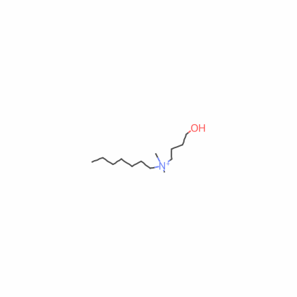 CCCCCCC[N+](C)(C)CCCCO